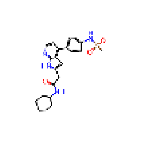 CS(=O)(=O)Nc1ccc(-c2ccnc3[nH]c(CC(=O)NC4CCCCC4)cc23)cc1